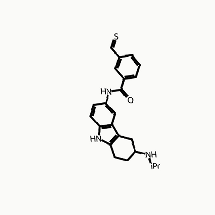 CC(C)NC1CCc2[nH]c3ccc(NC(=O)c4cccc(C=S)c4)cc3c2C1